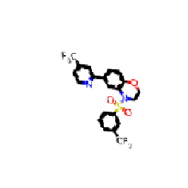 O=S(=O)(c1cccc(C(F)(F)F)c1)N1CCOc2ccc(-c3cc(C(F)(F)F)ccn3)cc21